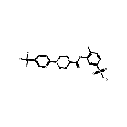 Cc1ccc(S(N)(=O)=O)cc1NC(=O)C1CCN(c2ccc(C(F)(F)F)cn2)CC1